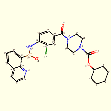 O=C(OC1CCCCC1)N1CCN(C(=O)c2ccc(N[S+]([O-])c3cccc4cccnc34)c(F)c2)CC1